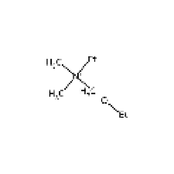 CC[N+](C)(C)C.CC[O-]